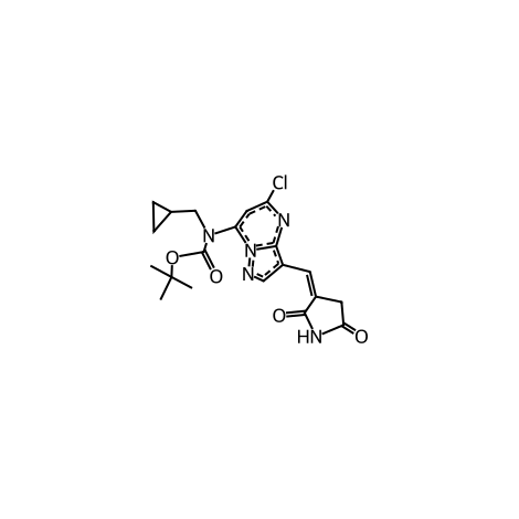 CC(C)(C)OC(=O)N(CC1CC1)c1cc(Cl)nc2c(C=C3CC(=O)NC3=O)cnn12